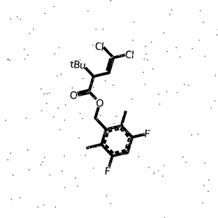 Cc1c(F)cc(F)c(C)c1COC(=O)C(C=C(Cl)Cl)C(C)(C)C